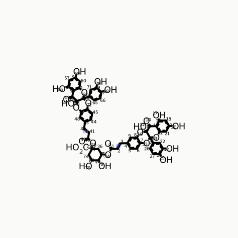 O=C(/C=C/c1ccc2c(c1)OC1(O)C(=O)c3c(O)cc(O)cc3OC1(c1ccc(O)c(O)c1)O2)O[C@@H]1C[C@@](OC(=O)/C=C/c2ccc3c(c2)OC2(O)C(=O)c4c(O)cc(O)cc4OC2(c2ccc(O)c(O)c2)O3)(C(=O)O)C[C@@H](O)[C@@H]1O